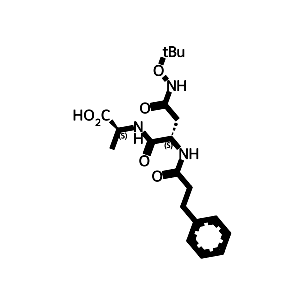 C[C@H](NC(=O)[C@H](CC(=O)NOC(C)(C)C)NC(=O)CCc1ccccc1)C(=O)O